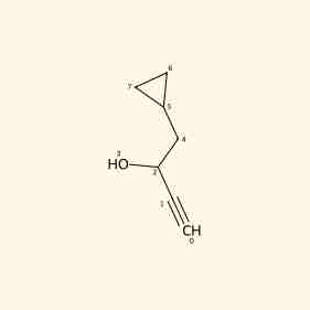 C#CC(O)CC1CC1